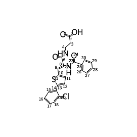 O=C(O)CCNC(=O)C(=Cc1ccc(-c2ccccc2Cl)s1)NC(=O)c1ccccc1